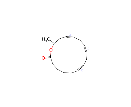 CC1C/C=C\C/C=C\C/C=C\CCCCC(=O)O1